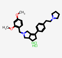 COc1ccc(CN2CC3=C(c4ccc(CCN5CCCC5)cc4)CCC3C2)c(OC)c1.Cl.Cl